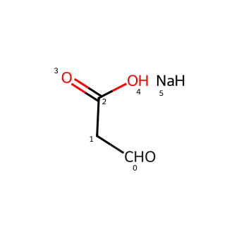 O=CCC(=O)O.[NaH]